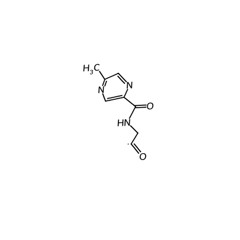 Cc1cnc(C(=O)NC[C]=O)cn1